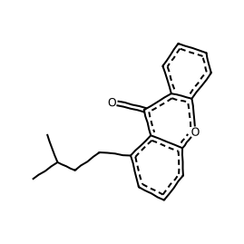 CC(C)CCc1cccc2oc3ccccc3c(=O)c12